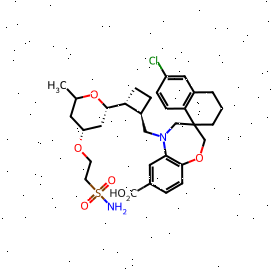 CC1C[C@@H](OCCS(N)(=O)=O)C[C@@H]([C@@H]2CC[C@H]2CN2CC3(CCCc4cc(Cl)ccc43)COc3ccc(C(=O)O)cc32)O1